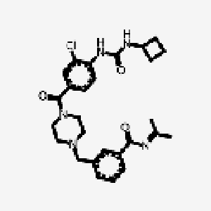 CC(C)=NC(=O)c1cccc(CN2CCN(C(=O)c3ccc(NC(=O)NC4CCC4)c(Cl)c3)CC2)c1